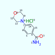 Cl.NC(=O)c1ccc(N2CCOCC2)cc1